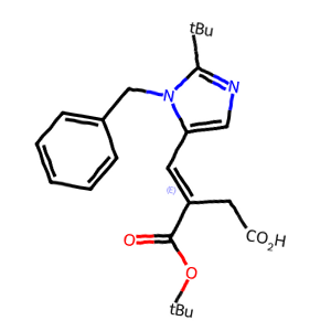 CC(C)(C)OC(=O)/C(=C/c1cnc(C(C)(C)C)n1Cc1ccccc1)CC(=O)O